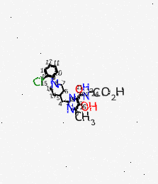 Cc1nc(CC2CCN(c3ccccc3Cl)CC2)nc(C(=O)NCC(=O)O)c1O